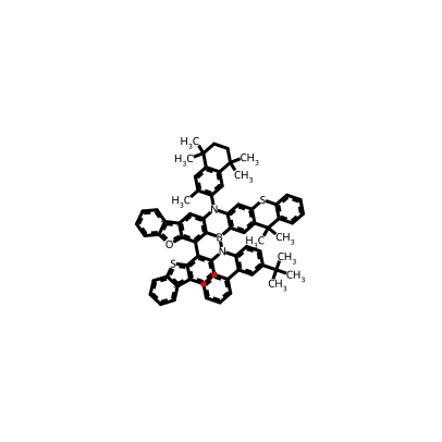 Cc1cc2c(cc1N1c3cc4c(cc3B3c5c1cc1c(oc6ccccc61)c5-c1c(ccc5c1sc1ccccc15)N3c1ccc(C(C)(C)C)cc1-c1ccccc1)C(C)(C)c1ccccc1S4)C(C)(C)CCC2(C)C